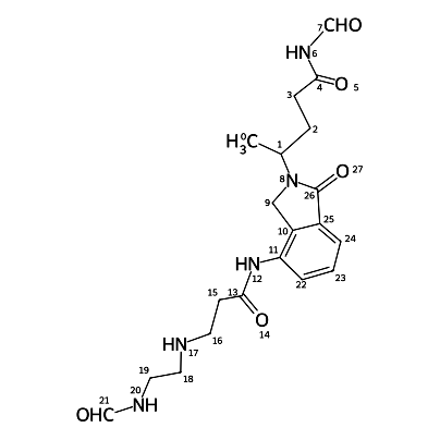 CC(CCC(=O)NC=O)N1Cc2c(NC(=O)CCNCCNC=O)cccc2C1=O